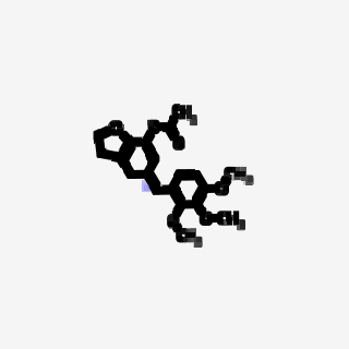 COc1ccc(/C=C2\C=C(OC(C)=O)C3=C(CCO3)C2)c(OC)c1OC